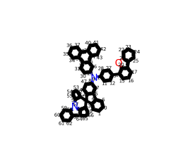 c1ccc2c(c1)-c1cc(N(c3ccc(-c4cccc5c4oc4ccccc45)cc3)c3ccc4c5ccccc5c5ccccc5c4c3)ccc1C21c2ccccc2-n2c3ccccc3c3cccc1c32